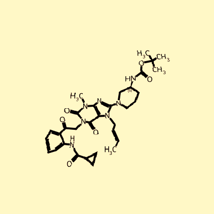 CC=CCn1c(N2CCC[C@H](NC(=O)OC(C)(C)C)C2)nc2c1c(=O)n(CC(=O)c1ccccc1NC(=O)C1CC1)c(=O)n2C